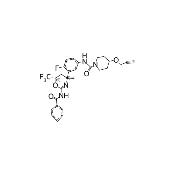 C#CCOC1CCN(C(=O)Nc2ccc(F)c([C@@]3(C)C[C@@H](C(F)(F)F)OC(NC(=O)c4ccccc4)=N3)c2)CC1